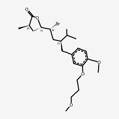 COCCCOc1cc(C[C@@H](C[C@@H](Br)[C@@H]2C[C@@H](C)C(=O)O2)C(C)C)ccc1OC